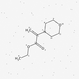 C=C(C(=O)OCC)N1CCOCC1